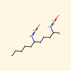 CCCCCC(CCCC(C)N=C=O)N=C=O